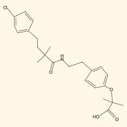 CC(C)(CCc1ccc(Cl)cc1)C(=O)NCCc1ccc(OC(C)(C)C(=O)O)cc1